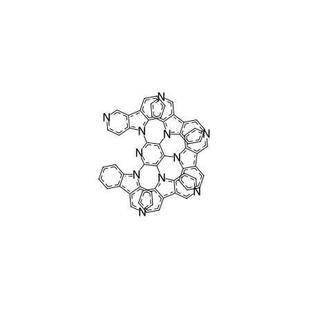 c1ccc2c(c1)c1cnccc1n2-c1nc(-n2c3ccccc3c3cnccc32)c(-n2c3ccccc3c3cnccc32)c(-n2c3ccccc3c3cnccc32)c1-n1c2ccccc2c2cnccc21